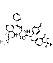 NC(=O)CN1C(=O)C(NC(=O)[C@H](Cc2ccc(C(F)(F)F)c(F)c2)c2ccc(F)cc2)N=C(c2ccccc2)c2ccccc21